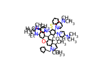 CCN1c2cc3c(cc2C(C)=CC1(C)C)C(c1c(C(=O)O)c(-[n+]2ccc(N(C)C)cc2)c(-[n+]2ccc(N(C)C)cc2)c(Sc2ccccc2)c1-[n+]1ccc(N(C)C)cc1)=c1cc2c(cc1O3)=[N+](Cc1ccccc1)C(C)(C)C=C2C